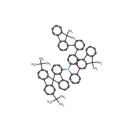 CC(C)(C)c1ccc2c(c1)C1(c3cc(C(C)(C)C)ccc3-2)c2ccccc2-c2c(N(c3ccc(-c4ccccc4-c4cccc5c4C(C)(C)c4ccccc4-5)cc3)c3ccccc3-c3ccc4c(c3)C(C)(C)c3ccccc3-4)cccc21